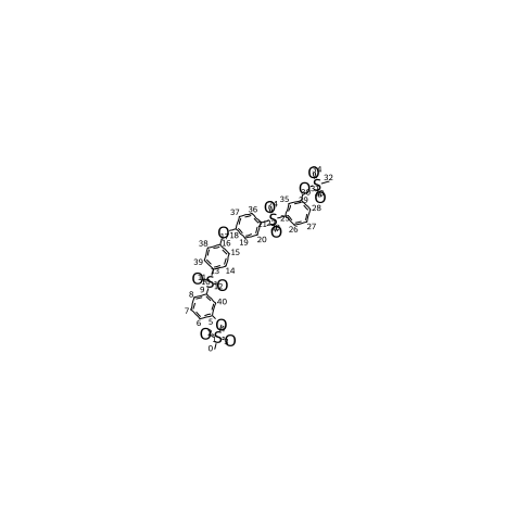 CS(=O)(=O)Oc1cccc(S(=O)(=O)c2ccc(Oc3ccc(S(=O)(=O)c4cccc(OS(C)(=O)=O)c4)cc3)cc2)c1